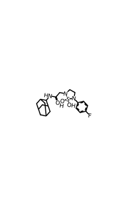 O=C(CN1CCN(c2ccc(F)cc2)S1(O)O)NC1C2CC3CC(C2)CC1C3